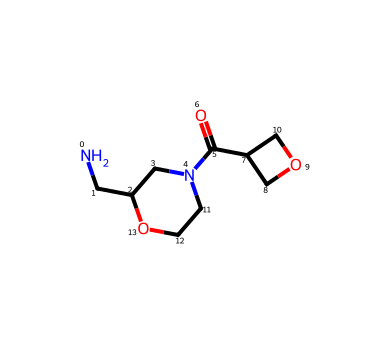 NCC1CN(C(=O)C2COC2)CCO1